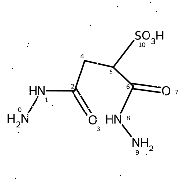 NNC(=O)CC(C(=O)NN)S(=O)(=O)O